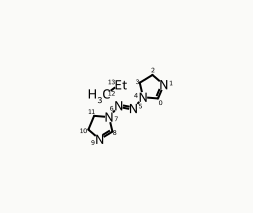 C1=NCCN1N=NN1C=NCC1.CCC